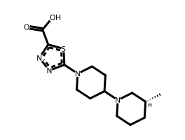 C[C@@H]1CCCN(C2CCN(c3nnc(C(=O)O)s3)CC2)C1